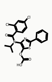 CC(C)N(C(=O)c1ccc(Cl)cc1Cl)c1nc(-c2ccccc2)sc1OC(=O)O